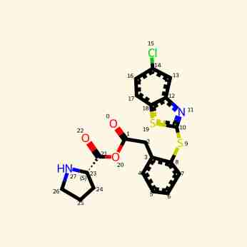 O=C(Cc1ccccc1Sc1nc2cc(Cl)ccc2s1)OC(=O)[C@@H]1CCCN1